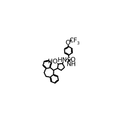 N=S(=O)(NC1CCC(C2c3ccccc3CCc3ccccc32)C1O)c1ccc(OC(F)(F)F)cc1